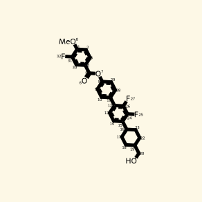 COc1ccc(C(=O)Oc2ccc(-c3ccc(C4CCC(CO)CC4)c(F)c3F)cc2)cc1F